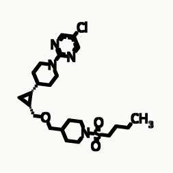 CCCCS(=O)(=O)N1CCC(COC[C@@H]2C[C@@H]2C2CCN(c3ncc(Cl)cn3)CC2)CC1